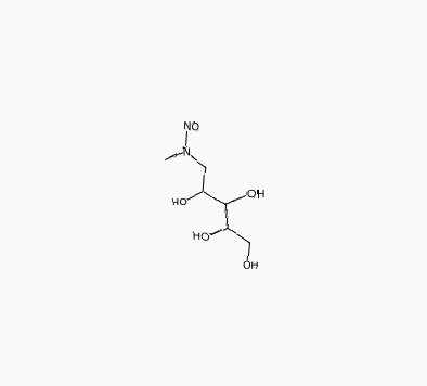 CN(CC(O)C(O)C(O)CO)N=O